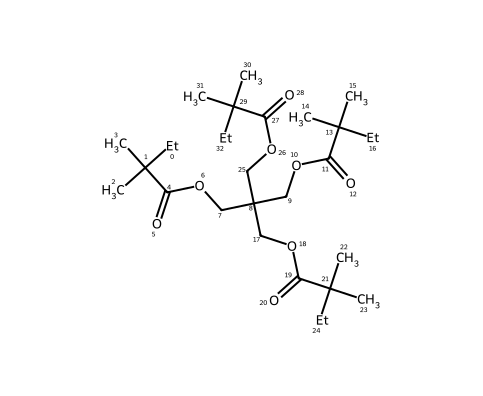 CCC(C)(C)C(=O)OCC(COC(=O)C(C)(C)CC)(COC(=O)C(C)(C)CC)COC(=O)C(C)(C)CC